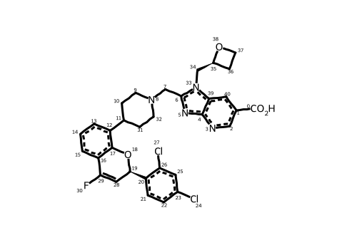 O=C(O)c1cnc2nc(CN3CCC(c4cccc5c4O[C@@H](c4ccc(Cl)cc4Cl)C=C5F)CC3)n(C[C@@H]3CCO3)c2c1